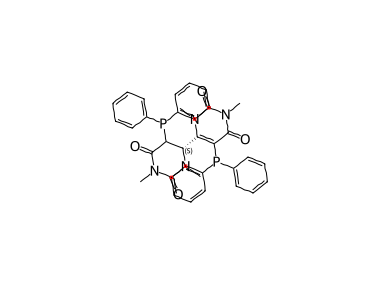 CN1C(=O)C(P(c2ccccc2)c2ccccc2)[C@H](c2c(P(c3ccccc3)c3ccccc3)c(=O)n(C)c(=O)n2C)N(C)C1=O